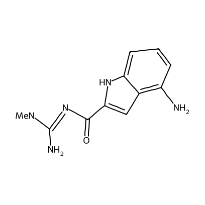 CNC(N)=NC(=O)c1cc2c(N)cccc2[nH]1